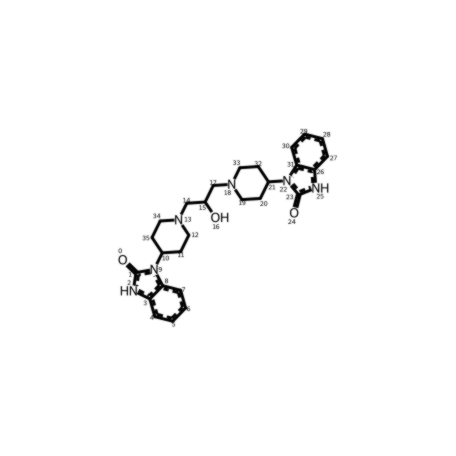 O=c1[nH]c2ccccc2n1C1CCN(CC(O)CN2CCC(n3c(=O)[nH]c4ccccc43)CC2)CC1